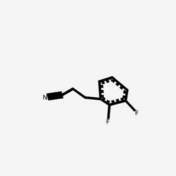 N#CCCc1cccc(F)c1F